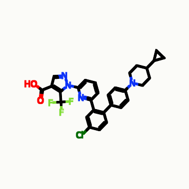 O=C(O)c1cnn(-c2cccc(-c3cc(Cl)ccc3-c3ccc(N4CCC(C5CC5)CC4)cc3)n2)c1C(F)(F)F